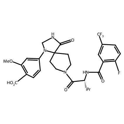 COc1cc(N2CNC(=O)C23CCN(C(=O)[C@H](NC(=O)c2cc(C(F)(F)F)ccc2F)C(C)C)CC3)ccc1C(=O)O